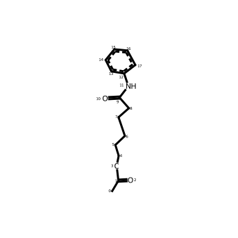 CC(=O)CCCCCCC(=O)Nc1ccccc1